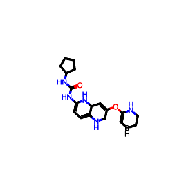 O=C(NC1=CC=C2NCC(OC3=CBCCN3)=CC2N1)NC1CCCC1